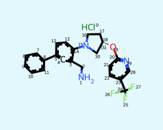 Cl.NCc1cc(-c2ccccc2)ccc1N1CC[C@H](Oc2ccc(C(F)(F)F)cn2)C1